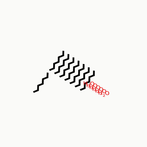 CCCCCCC.CCCCCCC.CCCCCCC.CCCCCCC.CCCCCCC.CCCCCCC.CCCCCCC.CCCCCCC.O.O.O.O.O.O